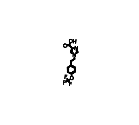 O=C(O)c1cn(CCc2ccc(OC(F)(F)F)cc2)cn1